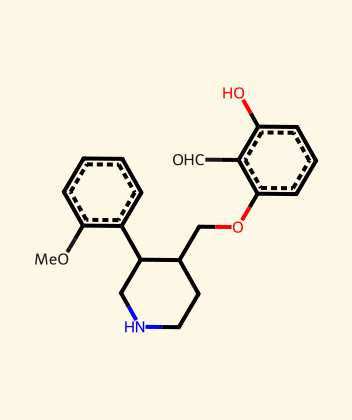 COc1ccccc1C1CNCCC1COc1cccc(O)c1C=O